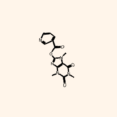 Cn1c(=O)c2c(nc(OC(=O)c3cccnc3)n2C)n(C)c1=O